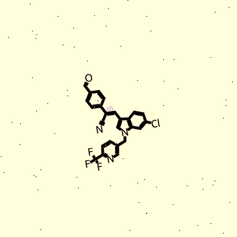 N#C/C(=C\c1cn(Cc2ccc(C(F)(F)F)nc2)c2cc(Cl)ccc12)c1ccc(C=O)cc1